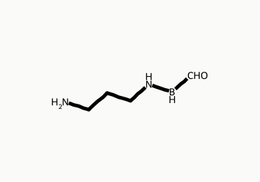 NCCCNBC=O